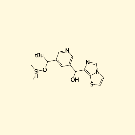 C[SiH](C)OC(c1cncc(C(O)c2ncn3ccsc23)c1)C(C)(C)C